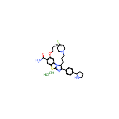 COCCOc1cc2c(cc1C(N)=O)sc1nc(-c3ccc(C4CCCN4)cc3)c(CCCN3CCC(F)CC3)n12.Cl.Cl